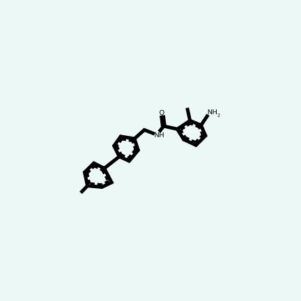 Cc1ccc(-c2ccc(CNC(=O)c3cccc(N)c3C)cc2)cc1